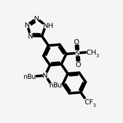 CCCCN(CCCC)c1cc(-c2nnn[nH]2)cc(S(C)(=O)=O)c1-c1ccc(C(F)(F)F)cc1